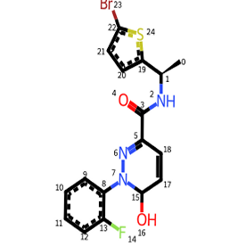 C[C@@H](NC(=O)C1=NN(c2ccccc2F)C(O)C=C1)c1ccc(Br)s1